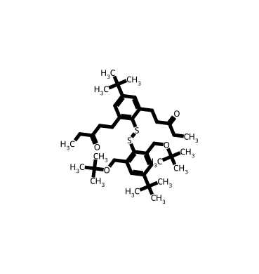 CCC(=O)CCc1cc(C(C)(C)C)cc(CCC(=O)CC)c1SSc1c(COC(C)(C)C)cc(C(C)(C)C)cc1COC(C)(C)C